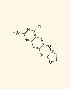 Cc1nc(Cl)c2cc(O[C@H]3CCOC3)c(Br)cc2n1